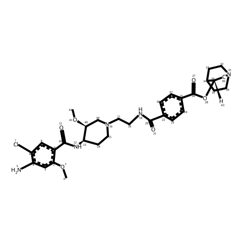 COc1cc(N)c(Cl)cc1C(=O)N[C@@H]1CCN(CCNC(=O)c2ccc(C(=O)O[C@H]3CN4CCC3CC4)cc2)C[C@@H]1OC